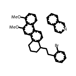 COc1cccc2c1c(OC)cc1c3c(ccc12)C(CCc1ccccc1Br)CCC3.c1ccc2cnccc2c1